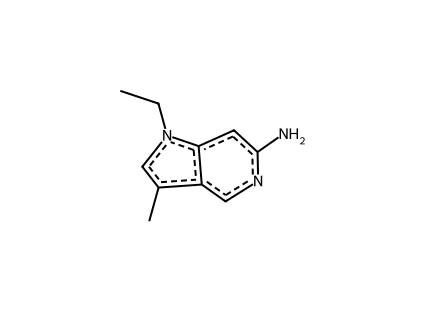 CCn1cc(C)c2cnc(N)cc21